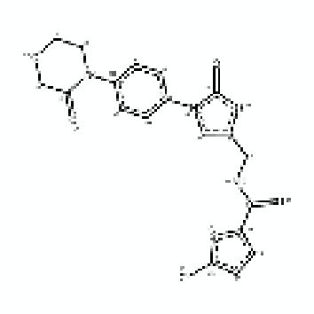 O=C(NCc1cn(-c2ccc(N3CCOCC3=O)cc2)c(=O)o1)c1ccc(Cl)s1